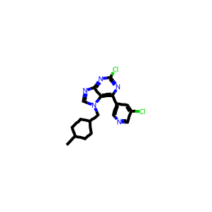 CC1CCC(Cn2cnc3nc(Cl)nc(-c4cncc(Cl)c4)c32)CC1